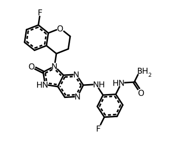 BC(=O)Nc1ccc(F)cc1Nc1ncc2[nH]c(=O)n(C3CCOc4c(F)cccc43)c2n1